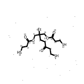 CCC(CCC(=O)CCS)(COC(=O)CCS)COC(=O)CCS